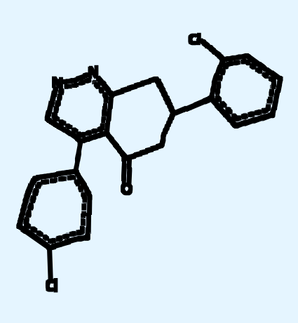 O=C1CC(c2ccccc2Cl)Cc2nncc(-c3ccc(Cl)cc3)c21